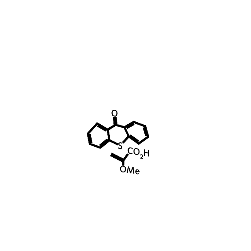 C=C(OC)C(=O)O.O=c1c2ccccc2sc2ccccc12